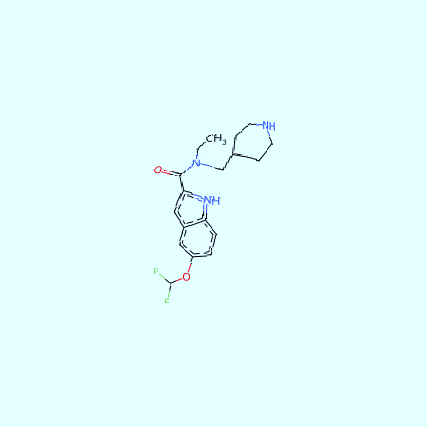 CCN(CC1CCNCC1)C(=O)c1cc2cc(OC(F)F)ccc2[nH]1